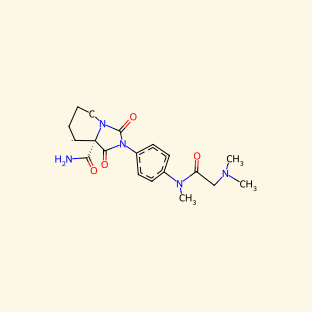 CN(C)CC(=O)N(C)c1ccc(N2C(=O)N3CCC[CH][C@]3(C(N)=O)C2=O)cc1